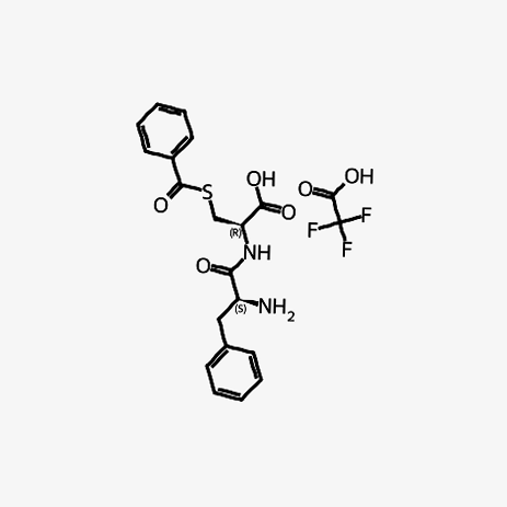 N[C@@H](Cc1ccccc1)C(=O)N[C@@H](CSC(=O)c1ccccc1)C(=O)O.O=C(O)C(F)(F)F